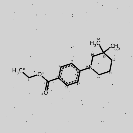 CCOC(=O)c1ccc(N2CCCC(C)(C)C2)cc1